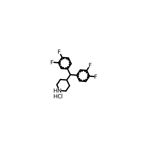 Cl.Fc1ccc(C(c2ccc(F)c(F)c2)C2CCNCC2)cc1F